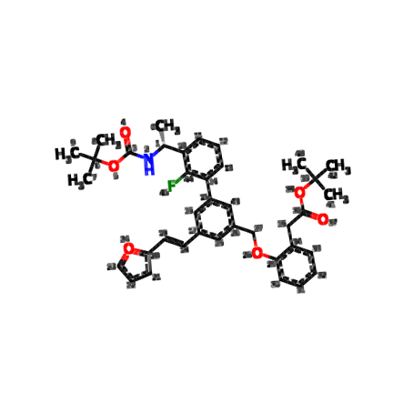 C[C@@H](NC(=O)OC(C)(C)C)c1cccc(-c2cc(C=Cc3ccco3)cc(COc3ccccc3CC(=O)OC(C)(C)C)c2)c1F